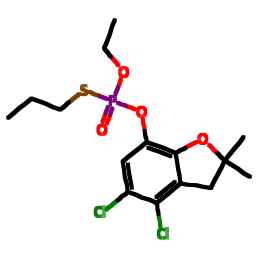 CCCSP(=O)(OCC)Oc1cc(Cl)c(Cl)c2c1OC(C)(C)C2